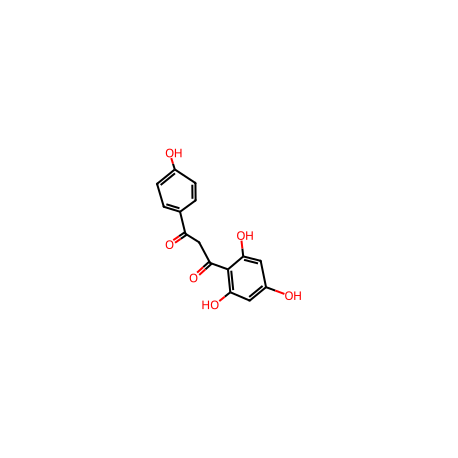 O=C(CC(=O)c1c(O)cc(O)cc1O)c1ccc(O)cc1